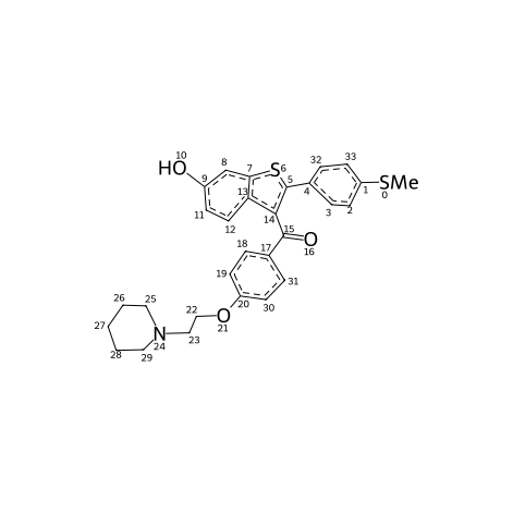 CSc1ccc(-c2sc3cc(O)ccc3c2C(=O)c2ccc(OCCN3CCCCC3)cc2)cc1